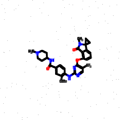 COc1cc(C(=O)NC2CCN(C)CC2)ccc1Nc1ncc(C(F)(F)F)c(Oc2cccc3c2C(=O)N(C)C32CC2)n1